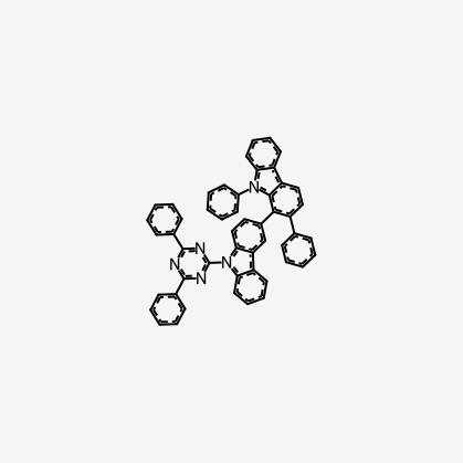 c1ccc(-c2nc(-c3ccccc3)nc(-n3c4ccccc4c4cc(-c5c(-c6ccccc6)ccc6c7ccccc7n(-c7ccccc7)c56)ccc43)n2)cc1